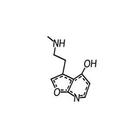 CNCCc1coc2nccc(O)c12